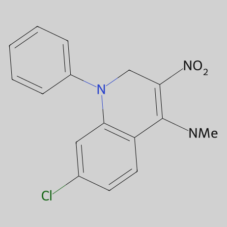 CNC1=C([N+](=O)[O-])CN(c2ccccc2)c2cc(Cl)ccc21